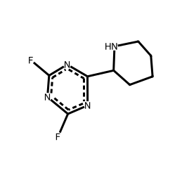 Fc1nc(F)nc(C2CCCCN2)n1